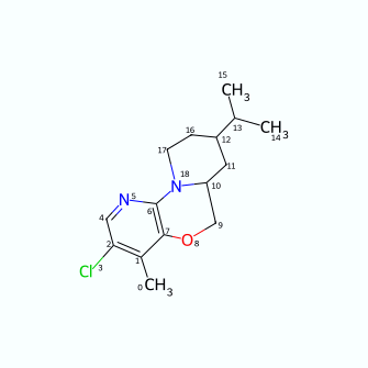 Cc1c(Cl)cnc2c1OCC1CC(C(C)C)CCN21